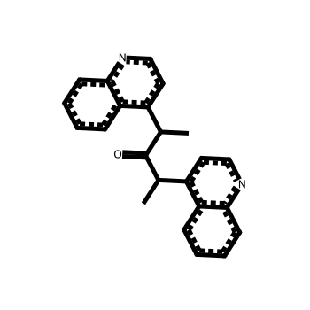 CC(C(=O)C(C)c1ccnc2ccccc12)c1ccnc2ccccc12